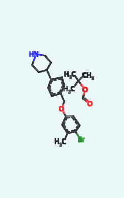 CC(C)(C)OC=O.Cc1cc(OCc2ccc(C3CCNCC3)cc2)ccc1Br